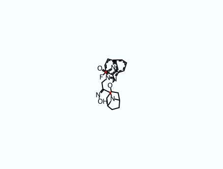 O=c1n(C/C(CN2C3CCC2CC(OCc2ccccc2F)C3)=N/O)nc2ccccn12